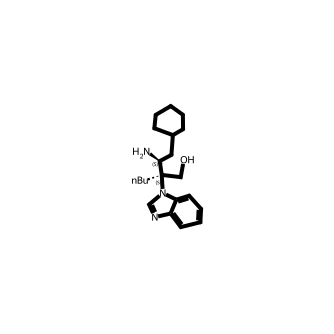 CCCC[C@@](CO)([C@@H](N)CC1CCCCC1)n1cnc2ccccc21